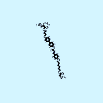 C=CC(=O)OCCCCCCOc1ccc(/C=C/C(=O)Oc2ccc(-c3ccc(OCCCOC(=O)C(=C)CO)cc3)cc2)cc1